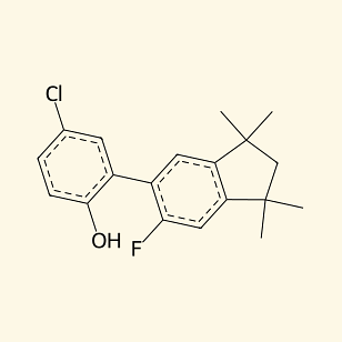 CC1(C)CC(C)(C)c2cc(-c3cc(Cl)ccc3O)c(F)cc21